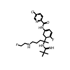 CC(C)(C)C(=N)NC(C)(CCCNCCF)C1CC(NC(=O)c2ccc(Cl)cn2)=CC=C1F